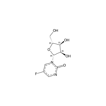 O=c1ncc(F)cn1[C@@H]1O[C@H](CO)[C@@H](O)[C@H]1O